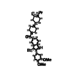 CCc1c(-c2ccc(OC)c(OC)c2)[nH]c2ccc(C(=O)N3CCN(C4CCN(C(C)C)C(I)C4)CC3)cc12